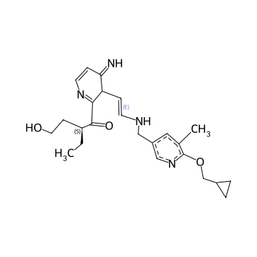 CC[C@@H](CCO)C(=O)C1=NC=CC(=N)C1/C=C/NCc1cnc(OCC2CC2)c(C)c1